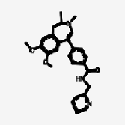 COc1cc2c(cc1OC)C(c1ccc(C(=O)NCc3ccccn3)cc1)=CN(C)C(C)C2